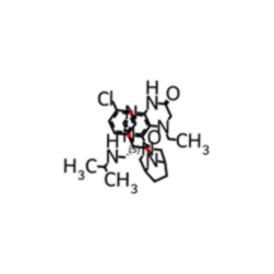 CCN1CC(=O)Nc2ncnc(N3CC4CCC(C3)N4C(=O)[C@H](CNC(C)C)c3ccc(Cl)cc3)c21